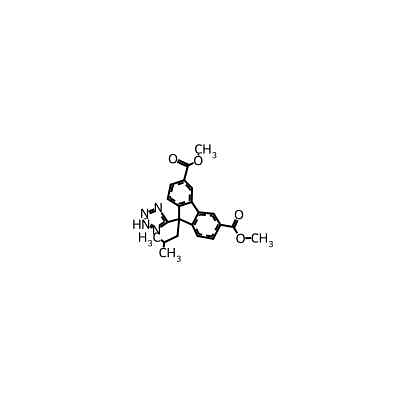 COC(=O)c1ccc2c(c1)-c1cc(C(=O)OC)ccc1C2(CC(C)C)c1nn[nH]n1